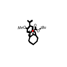 C=C(C)c1cc2c(cc1OC)C1(C)CCCCCC(C2)C1NC(=O)OC(C)(C)C